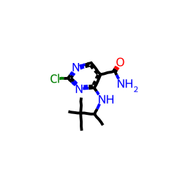 CC(Nc1nc(Cl)ncc1C(N)=O)C(C)(C)C